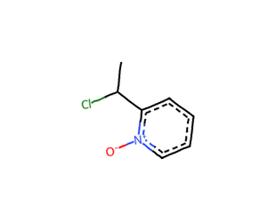 CC(Cl)c1cccc[n+]1[O-]